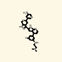 CN(C)CCNc1cc(F)cc(-c2ccnc3[nH]c(-c4n[nH]c5cnc(-c6cncc(N)c6)cc45)cc23)c1